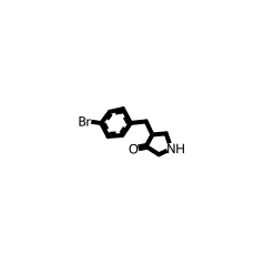 O=C1CNCC1Cc1ccc(Br)cc1